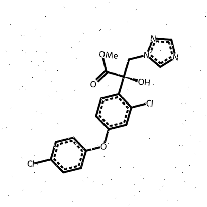 COC(=O)[C@](O)(Cn1cncn1)c1ccc(Oc2ccc(Cl)cc2)cc1Cl